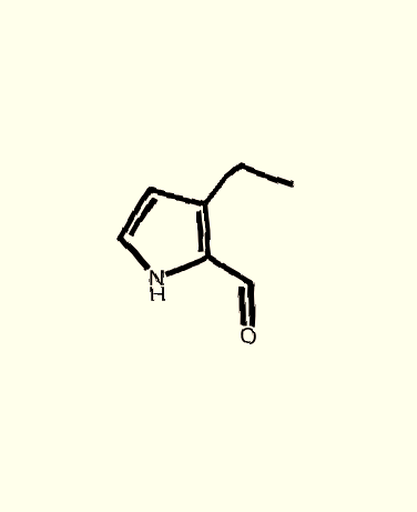 CCc1cc[nH]c1C=O